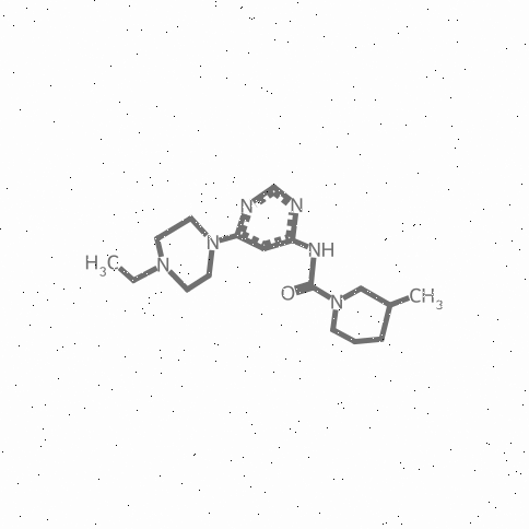 CCN1CCN(c2cc(NC(=O)N3CCCC(C)C3)ncn2)CC1